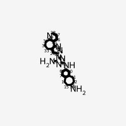 Nc1nc(Nc2ccc3c(c2)CCC(N)CC3)nn1-c1cc2c(nn1)-c1cccnc1CCC2